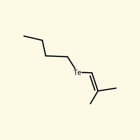 CCCC[Te]C=C(C)C